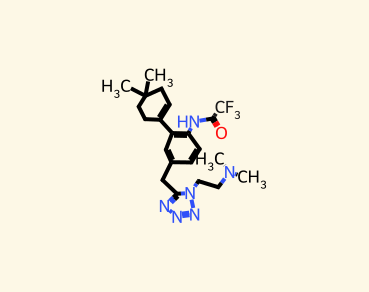 CN(C)CCn1nnnc1Cc1ccc(NC(=O)C(F)(F)F)c(C2=CCC(C)(C)CC2)c1